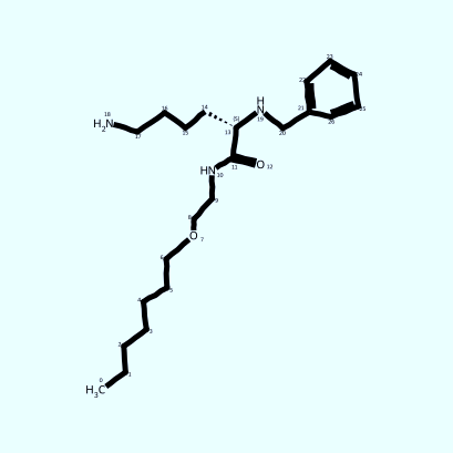 CCCCCCCOCCNC(=O)[C@H](CCCCN)NCc1ccccc1